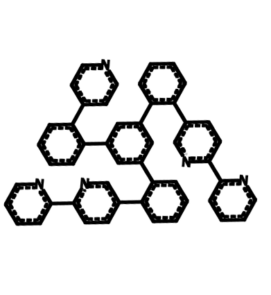 c1ccc(-c2ccc(-c3ccccc3-c3cc(-c4ccccc4-c4ccncc4)cc(-c4ccccc4-c4ccc(-c5ccccn5)nc4)c3)cn2)nc1